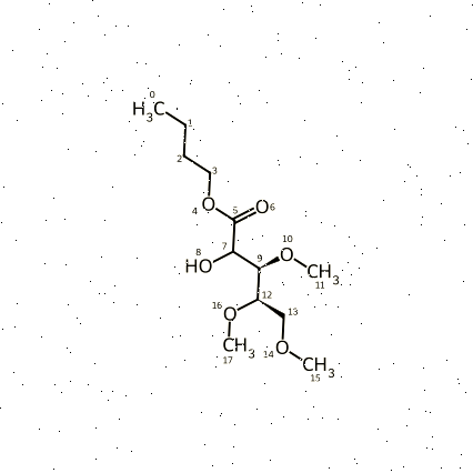 CCCCOC(=O)C(O)[C@@H](OC)[C@@H](COC)OC